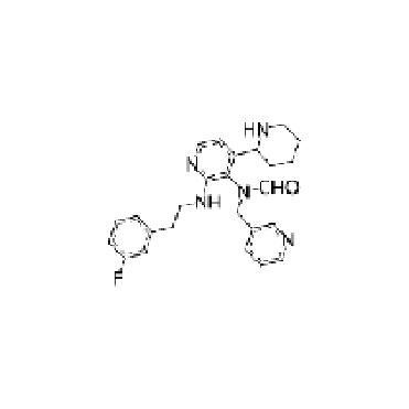 O=CN(Cc1cccnc1)c1c(C2CCCCN2)ccnc1NCCc1cccc(F)c1